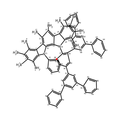 Bc1c(B)c(B)c2c(c1B)c1c(B)c(B)c3c4c(B)c(B)c(B)c(B)c4n(-c4ccc(-c5cc(-c6ccccc6)cc(-c6ccccc6)c5)cc4-c4nc(-c5ccccc5)nc(-c5ccccc5)n4)c3c1n2-c1ccccc1